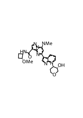 CNc1cc(-c2cnc3n([C@@H]4CCOC[C@H]4O)cccc2-3)nc2c(C(=O)N[C@@H]3CC[C@H]3OC)cnn12